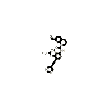 CC(C)Oc1cc(NC(=O)N2CCCc3ccc(C=O)nc32)ncc1C#Cc1cncnc1